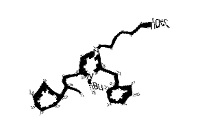 CCCCCCCCCCCCCCCn1cc(CC(C)c2ccccc2)[n+](CCCC)c1Cc1ccccc1